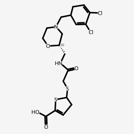 O=C(CSC1CC=C(C(=O)O)S1)NC[C@H]1CN(CC2C=C(Cl)C(Cl)=CC2)CCO1